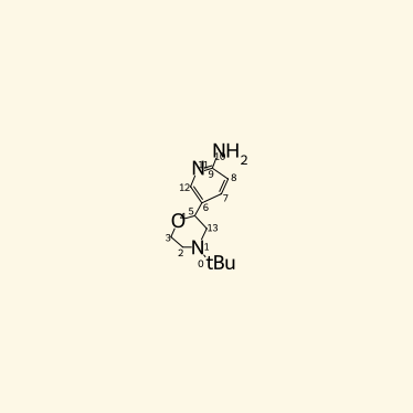 CC(C)(C)N1CCOC(c2ccc(N)nc2)C1